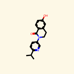 CC(C)c1ccc(N2CCc3cc(O)ccc3C2=O)cn1